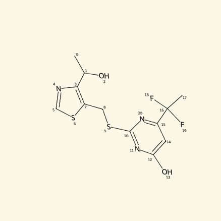 CC(O)c1ncsc1CSc1nc(O)cc(C(C)(F)F)n1